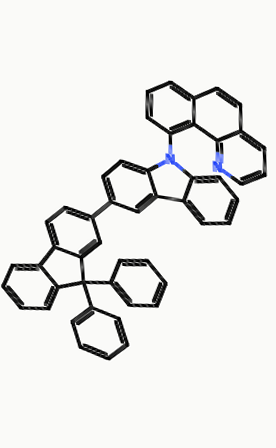 c1ccc(C2(c3ccccc3)c3ccccc3-c3ccc(-c4ccc5c(c4)c4ccccc4n5-c4cccc5ccc6cccnc6c45)cc32)cc1